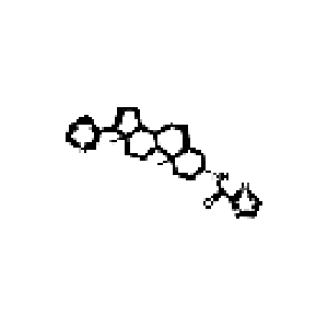 C[C@]12CC[C@@H](NC(=O)c3nccs3)CC1=CCC1C2CC[C@]2(C)C(c3cccnc3)=CCC12